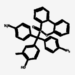 Cc1cc(C(c2ccc(N)cc2)(c2ccc(N)cc2)P2(=O)Oc3ccccc3-c3ccccc32)ccc1O